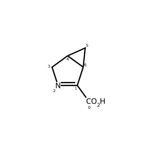 O=C(O)C1=NCC2CC12